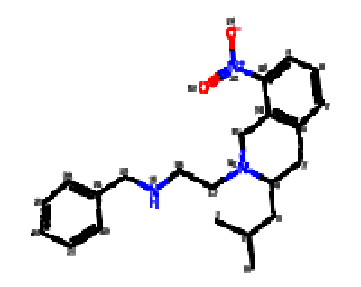 CC(C)CC1Cc2cccc([N+](=O)[O-])c2CN1CCNCc1ccccc1